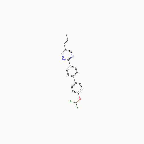 CCCc1cnc(-c2ccc(-c3ccc(OC(F)F)cc3)cc2)nc1